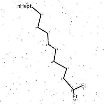 CCCCCCCCCCCCCCC[C](CC)CC